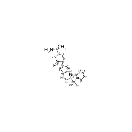 CC(N)c1ccc(-c2nc3ccc(C4(c5ccccc5)CC4)nc3s2)c(F)c1